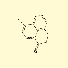 O=C1CCc2cccc3c(F)ccc1c23